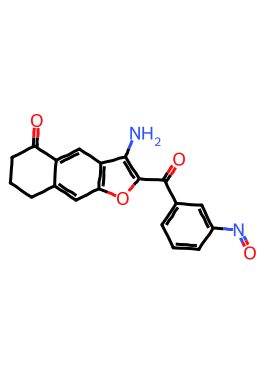 Nc1c(C(=O)c2cccc(N=O)c2)oc2cc3c(cc12)C(=O)CCC3